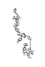 COCC[C@H](CSc1ccccc1)Nc1ccc(S(=O)(=O)NC(=O)c2ccc(N3CCN(CC4=C(c5ccc(Cl)cc5)CCC(C)(CN5CCN(C(=O)CCCCCCC(=O)N[C@H](C(=O)N6C[C@H](O)C[C@H]6C(=O)N[C@@H](C)c6ccc(-c7scnc7C)cc6)C(C)(C)C)CC5)C4)CC3)cc2)cc1[N+](=O)[O-]